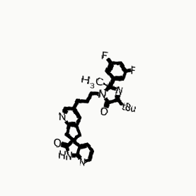 CC(C)(C)C1=N[C@@](C)(c2cc(F)cc(F)c2)N(CCCc2cnc3c(c2)CC2(C3)C(=O)Nc3ncccc32)C1=O